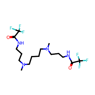 CN(CCCCN(C)CCCNC(=O)C(F)(F)F)CCCNC(=O)C(F)(F)F